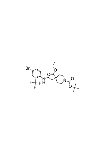 CCOC(=O)C1(CCNc2ccc(Br)cc2C(F)(F)F)CCN(C(=O)OC(C)(C)C)CC1